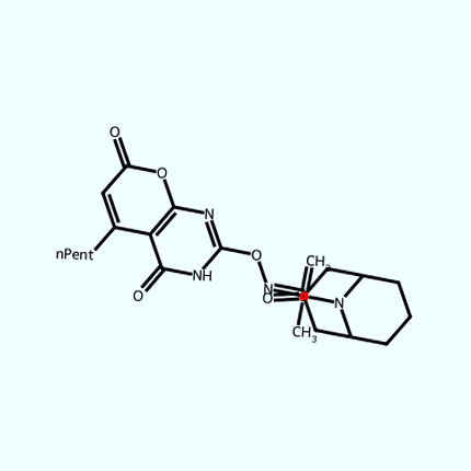 C=S(C)(=O)N1C2CCCC1CC(=NOc1nc3oc(=O)cc(CCCCC)c3c(=O)[nH]1)C2